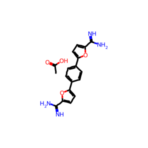 CC(=O)O.N=C(N)c1ccc(-c2ccc(-c3ccc(C(=N)N)o3)cc2)o1